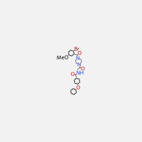 COc1ccc(Br)c(C(=O)N2CCN(C(=O)CNC(=O)c3ccc(Oc4ccccc4)cc3)CC2)c1